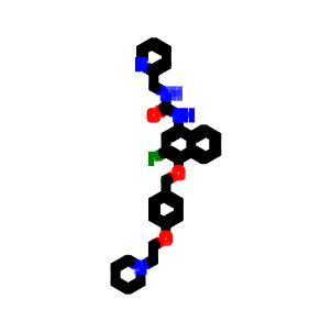 O=C(NCc1ccccn1)Nc1cc(F)c(OCc2ccc(OCCN3CCCCC3)cc2)c2ccccc12